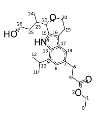 CCOC(=O)CCc1cc(C(C)C)c2[nH]c3c(c2c1)CCOC3C(C)CCO